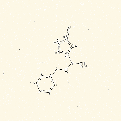 CC(OCc1ccccc1)c1n[nH]c(=O)o1